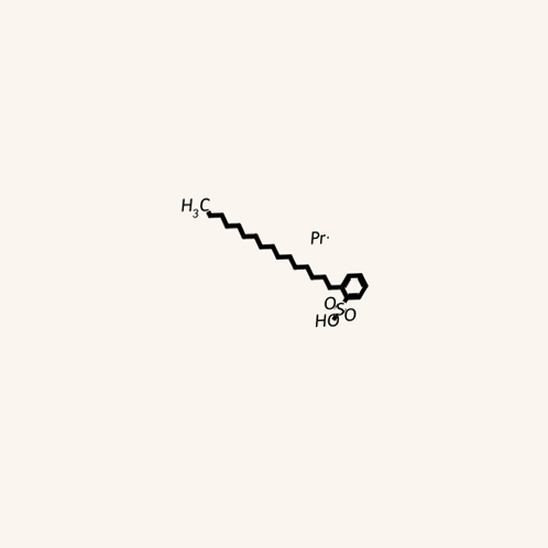 CCCCCCCCCCCCCCCCc1ccccc1S(=O)(=O)O.[Pr]